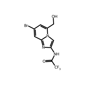 O=C(Nc1cn2c(CO)cc(Br)cc2n1)C(F)(F)F